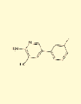 Cc1cccc(-c2cnc(N)c(O)c2)c1